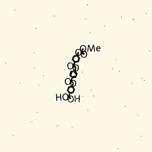 COC(=O)OC1CCC(C(=O)Oc2ccc(C(=O)OC3CCC(C(O)O)CC3)cc2)CC1